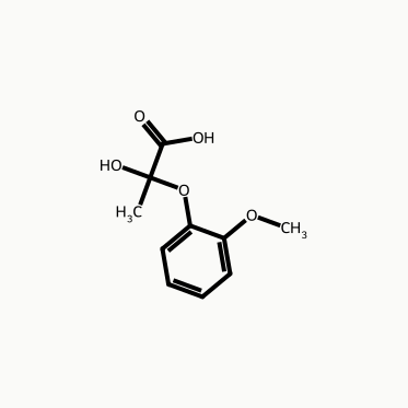 COc1ccccc1OC(C)(O)C(=O)O